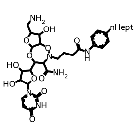 CCCCCCCc1ccc(NC(=O)CCCN2OC3C(OC(CN)C3O)OC(C3OC(n4ccc(=O)[nH]c4=O)C(O)C3O)C2C(N)=O)cc1